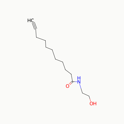 C#CCCCCCCCCC(=O)NCCO